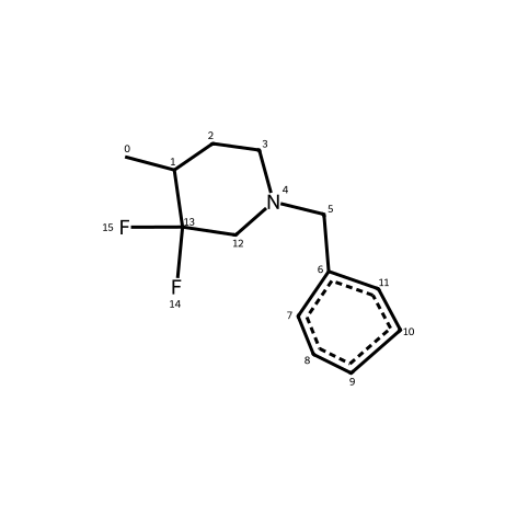 CC1CCN(Cc2ccccc2)CC1(F)F